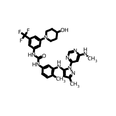 CNc1cc(-n2nc(C)cc2Nc2cc(NC(=O)Nc3cc(N4CCC(O)CC4)cc(C(F)(F)F)c3)ccc2C)ncn1